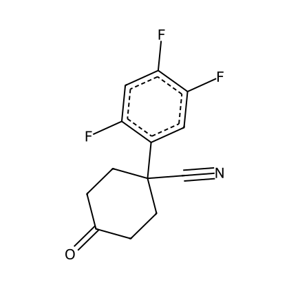 N#CC1(c2cc(F)c(F)cc2F)CCC(=O)CC1